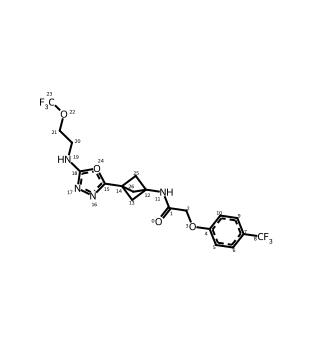 O=C(COc1ccc(C(F)(F)F)cc1)NC12CC(c3nnc(NCCOC(F)(F)F)o3)(C1)C2